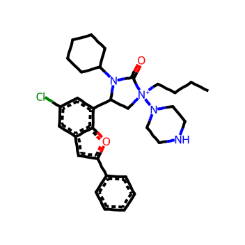 CCCC[N+]1(N2CCNCC2)CC(c2cc(Cl)cc3cc(-c4ccccc4)oc23)N(C2CCCCC2)C1=O